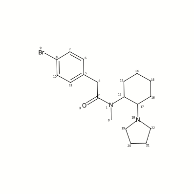 CN(C(=O)Cc1ccc(Br)cc1)C1CCCCC1N1CCCC1